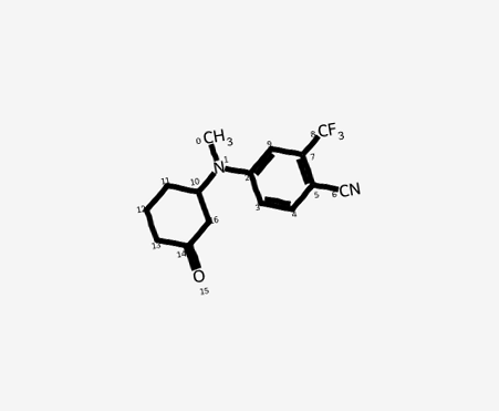 CN(c1ccc(C#N)c(C(F)(F)F)c1)C1CCCC(=O)C1